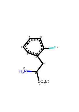 CCOC(=O)C(N)Cc1ccccc1F